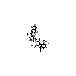 Cc1[nH]c2c(F)ccc(C)c2c1CCNc1cc(Nc2ccc3c(c2)CCC3)ncn1